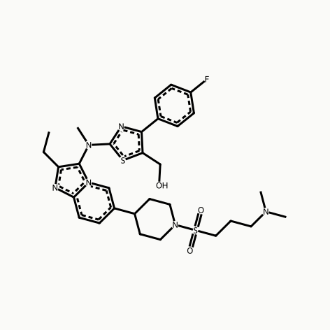 CCc1nc2ccc(C3CCN(S(=O)(=O)CCCN(C)C)CC3)cn2c1N(C)c1nc(-c2ccc(F)cc2)c(CO)s1